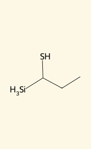 CCC([SiH3])S